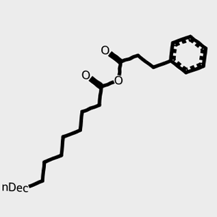 CCCCCCCCCCCCCCCCCC(=O)OC(=O)CCc1ccccc1